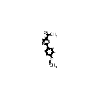 CCOc1ccc(-c2ncc(C(C)=O)s2)cc1